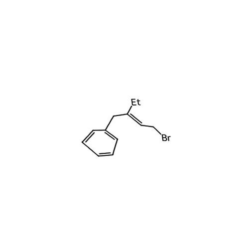 CCC(=CCBr)Cc1ccccc1